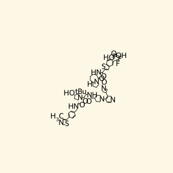 Cc1ncsc1-c1ccc(CNC(=O)[C@@H]2C[C@@H](O)CN2C(=O)[C@@H](NC(=O)C2CCN(c3ccncc3C3CN(C(=O)[C@@H]4CC[C@@H]5CCC[C@H](NC(=O)c6cc7cc(C(F)(F)P(=O)(O)O)ccc7s6)C(=O)N54)C3)CC2)C(C)(C)C)cc1